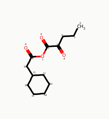 CCCC(=O)C(=O)OC(=O)CC1CCCCC1